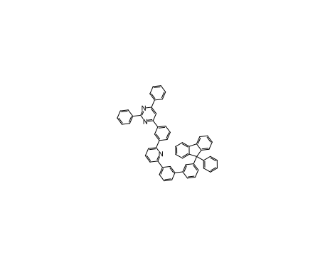 c1ccc(-c2cc(-c3cccc(-c4cccc(-c5cccc(-c6cccc(C7(c8ccccc8)c8ccccc8-c8ccccc87)c6)c5)n4)c3)nc(-c3ccccc3)n2)cc1